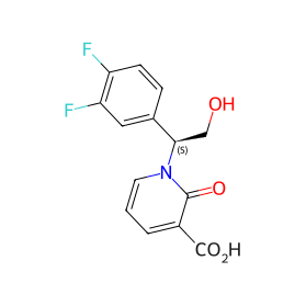 O=C(O)c1cccn([C@H](CO)c2ccc(F)c(F)c2)c1=O